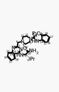 CC(C)[C@H](Nc1nc(CN2CCN(C(=O)Nc3ccccc3C(F)(F)F)CC2)nc2ccccc12)C(N)=O